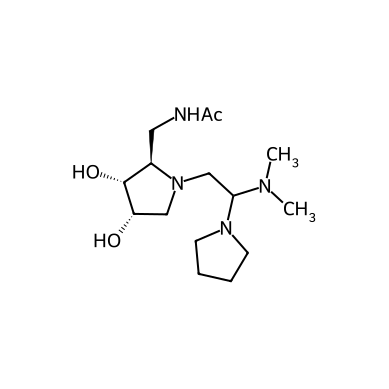 CC(=O)NC[C@@H]1[C@@H](O)[C@@H](O)CN1CC(N(C)C)N1CCCC1